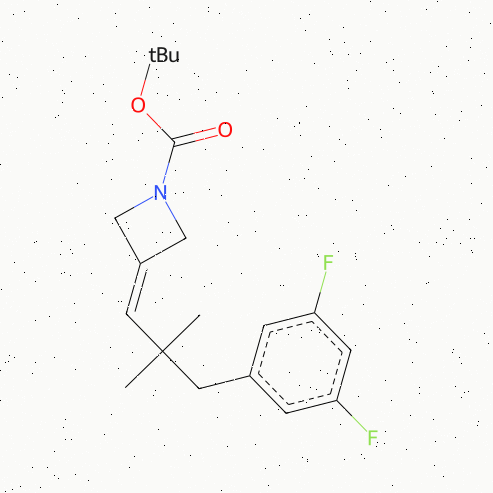 CC(C)(C=C1CN(C(=O)OC(C)(C)C)C1)Cc1cc(F)cc(F)c1